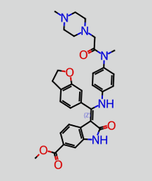 COC(=O)c1ccc2c(c1)NC(=O)/C2=C(\Nc1ccc(N(C)C(=O)CN2CCN(C)CC2)cc1)c1ccc2c(c1)OCC2